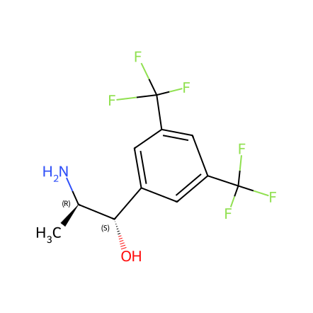 C[C@@H](N)[C@@H](O)c1cc(C(F)(F)F)cc(C(F)(F)F)c1